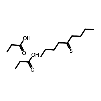 CCC(=O)O.CCC(=O)O.CCCCC(=S)CCCC